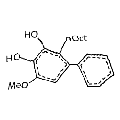 CCCCCCCCc1c(-c2ccccc2)cc(OC)c(O)c1O